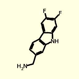 NCc1ccc2c(c1)[nH]c1cc(F)c(F)cc12